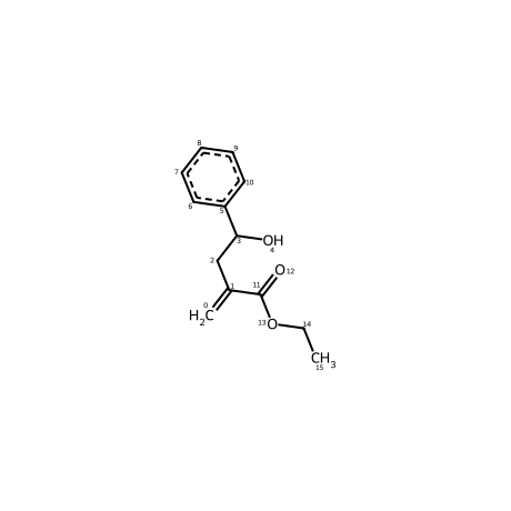 C=C(CC(O)c1ccccc1)C(=O)OCC